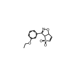 CCOc1cccc(C2=NOC3C=CS(=O)(=O)C23)c1